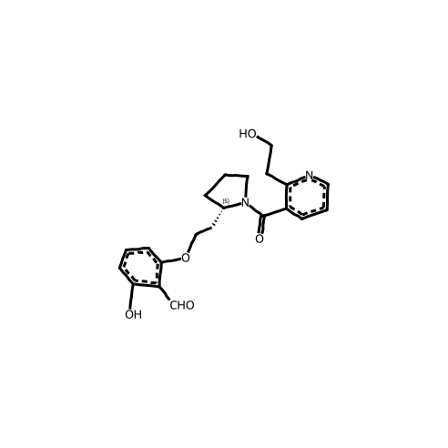 O=Cc1c(O)cccc1OCC[C@@H]1CCCN1C(=O)c1cccnc1CCO